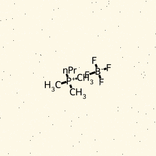 CCC[P+](C)(C)C.F[B-](F)(F)F